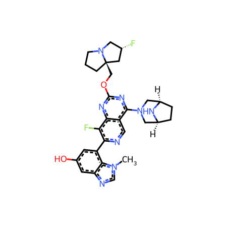 Cn1cnc2cc(O)cc(-c3ncc4c(N5C[C@H]6CC[C@@H](C5)N6)nc(OC[C@@]56CCCN5C[C@H](F)C6)nc4c3F)c21